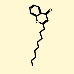 CCCCCCCCCc1cc(=O)c2ccccc2o1